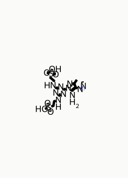 C/N=N\c1c(C)nn(-c2nc(NCCS(=O)(=O)O)nc(NCCS(=O)(=O)O)n2)c1N